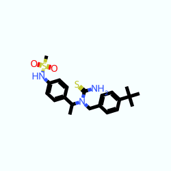 CC(c1ccc(NS(C)(=O)=O)cc1)N(Cc1ccc(C(C)(C)C)cc1)C(N)=S